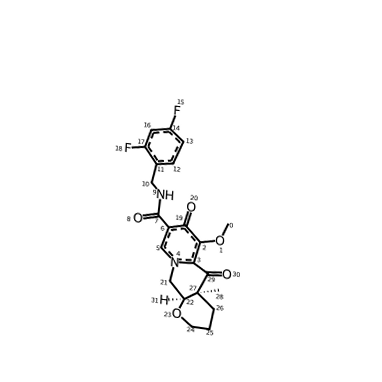 COc1c2n(cc(C(=O)NCc3ccc(F)cc3F)c1=O)C[C@@H]1OCCC[C@]1(C)C2=O